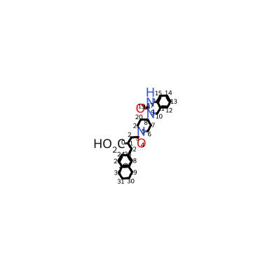 O=C(O)C(CC(=O)N1CCC(N2Cc3ccccc3NC2=O)CC1)Cc1ccc2c(c1)CCCC2